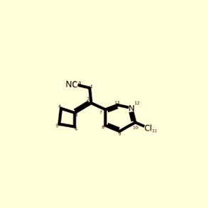 N#CCC(=C1CCC1)c1ccc(Cl)nc1